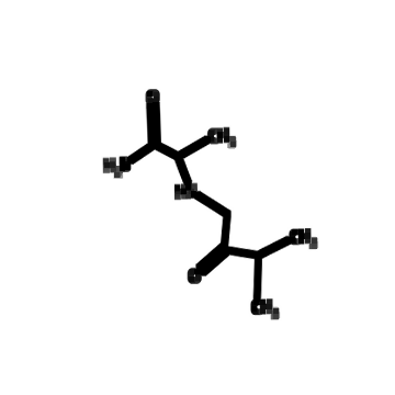 BC(=O)C(C)NCC(=O)C(C)C